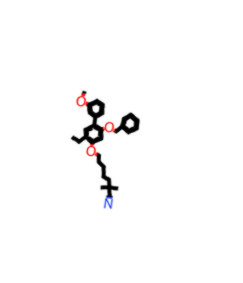 CCc1cc(-c2cccc(OC)c2)c(OCc2ccccc2)cc1OCCCCCC(C)(C)C#N